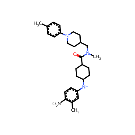 Cc1ccc(N2CCC(CN(C)C(=O)C3CCC(Nc4ccc([N+](=O)[O-])c(C)c4)CC3)CC2)cc1